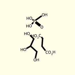 O=C(O)CCC(=O)O.O=P(O)(O)O.OCC(O)CO